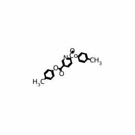 Cc1ccc(OC(=O)c2cc[c]([Co](=[O])[c]3ccc(C)cc3)nc2)cc1